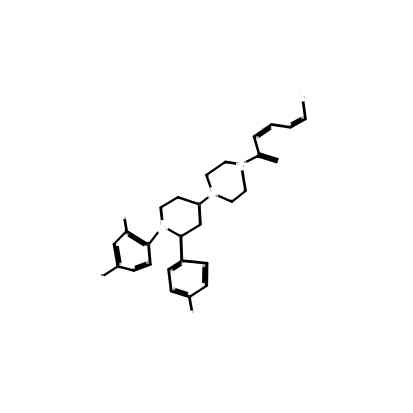 C=C(/C=C\C=C/N)N1CCN(C2CCN(c3ccc(Cl)cc3Cl)C(c3ccc(Cl)cc3)C2)CC1